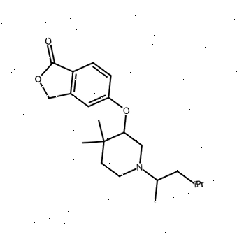 CC(C)CC(C)N1CCC(C)(C)C(Oc2ccc3c(c2)COC3=O)C1